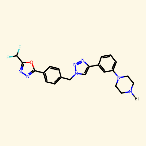 CCN1CCN(c2cccc(-c3cn(Cc4ccc(-c5nnc(C(F)F)o5)cc4)nn3)c2)CC1